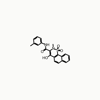 Cc1cccc(NC(=O)C2=C(O)c3ccc4ccccc4c3S(=O)(=O)N2C)c1